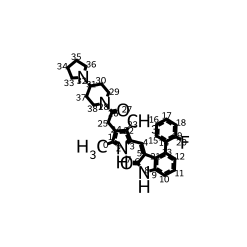 Cc1[nH]c(/C=C2\C(=O)Nc3cccc(-c4ccccc4F)c32)c(C)c1CC(=O)N1CCC(N2CCCC2)CC1